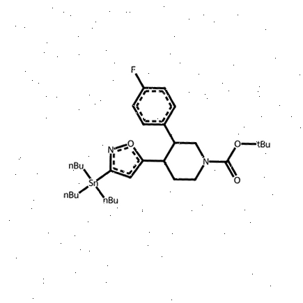 CCC[CH2][Sn]([CH2]CCC)([CH2]CCC)[c]1cc(C2CCN(C(=O)OC(C)(C)C)CC2c2ccc(F)cc2)on1